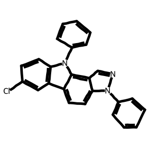 Clc1ccc2c(c1)c1ccc3c(cnn3-c3ccccc3)c1n2-c1ccccc1